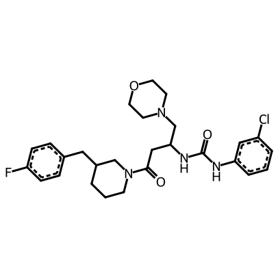 O=C(Nc1cccc(Cl)c1)NC(CC(=O)N1CCCC(Cc2ccc(F)cc2)C1)CN1CCOCC1